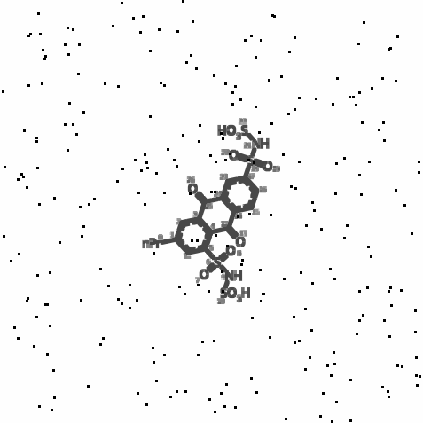 CCCc1cc2c(c(S(=O)(=O)NS(=O)(=O)O)c1)C(=O)c1ccc(S(=O)(=O)NS(=O)(=O)O)cc1C2=O